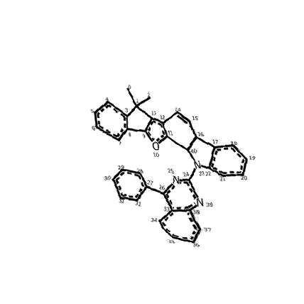 CC1(C)c2ccccc2-c2oc3c(c21)C=CC1c2ccccc2N(c2nc(-c4ccccc4)c4ccccc4n2)C31